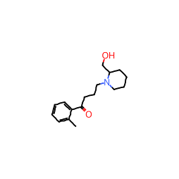 Cc1ccccc1C(=O)CCCN1CCCCC1CO